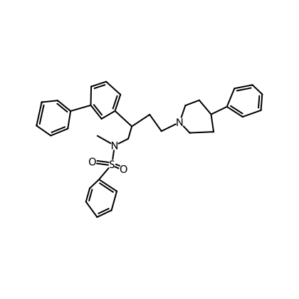 CN(CC(CCN1CCC(c2ccccc2)CC1)c1cccc(-c2ccccc2)c1)S(=O)(=O)c1ccccc1